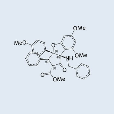 COC(=O)[C@H]1C(=O)[C@@]2(NCc3ccccc3)c3c(OC)cc(OC)cc3O[C@@]2(c2ccc(OC)cc2)[C@@H]1c1ccccc1